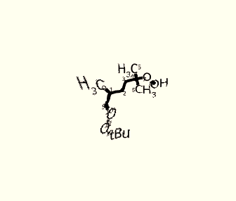 CC(CCC(C)(C)OO)COOC(C)(C)C